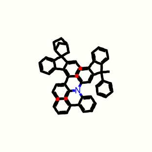 CC1(c2ccccc2)c2ccccc2-c2ccc(N(c3ccccc3-c3ccccc3)c3ccccc3-c3cccc4c3-c3ccccc3C43CC4CCC3C4)cc21